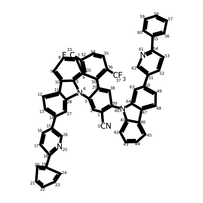 N#Cc1cc(-n2c3ccccc3c3ccc(-c4ccc(-c5ccccc5)nc4)cc32)c(-c2cc(C(F)(F)F)ccc2C(F)(F)F)cc1-n1c2ccccc2c2ccc(-c3ccc(-c4ccccc4)nc3)cc21